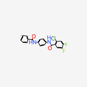 O=C(Nc1ccc(NC(=O)c2cc(F)c(F)cc2Cl)cc1)c1c[c]ccc1